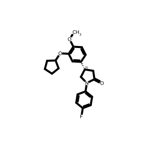 COc1ccc([C@@H]2CC(=O)N(c3ccc(F)cc3)C2)cc1OC1CCCC1